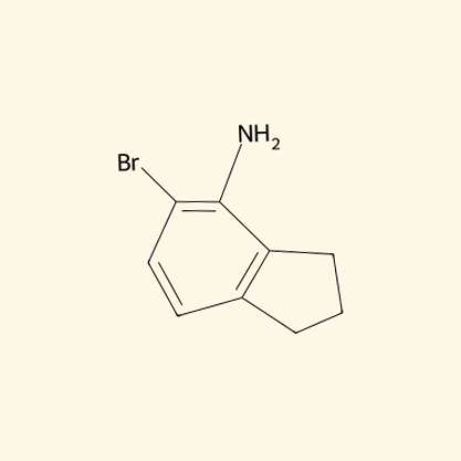 Nc1c(Br)ccc2c1CCC2